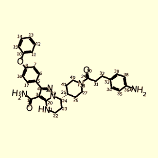 NC(=O)c1c(-c2ccc(Oc3ccccc3)cc2)nn2c1NCC[C@H]2C1CCN(C(=O)CCc2ccc(N)cc2)CC1